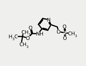 CC(C)(C)OC(=O)Nc1ccnc(COS(C)(=O)=O)c1